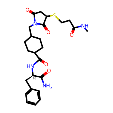 CNC(=O)CCSC1CC(=O)N(CC2CCC(C(=O)N[C@H](Cc3ccccc3)C(N)=O)CC2)C1=O